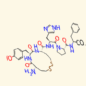 N[C@H]1CCSSCC[C@@H](C(=O)N[C@@H](Cc2c[nH]cn2)C(=O)N2CCC[C@H]2C(=O)N[C@@H](Cc2ccccc2)C(=O)O)NC(=O)[C@H](Cc2ccc(O)cc2)NC1=O